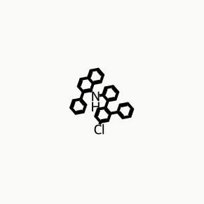 Clc1ccc(-c2ccccc2Nc2c(-c3ccccc3)ccc3ccccc23)c(-c2ccccc2)c1